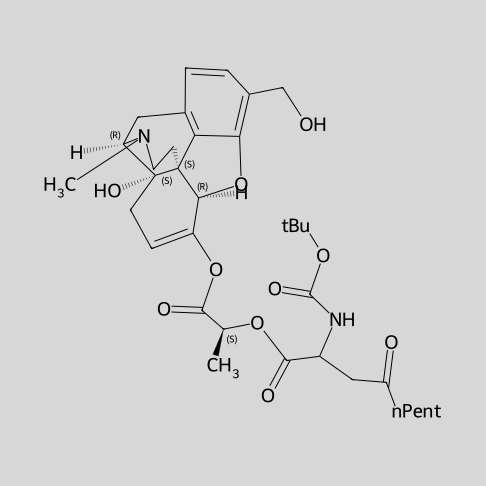 CCCCCC(=O)CC(NC(=O)OC(C)(C)C)C(=O)O[C@@H](C)C(=O)OC1=CC[C@@]2(O)[C@H]3Cc4ccc(CO)c5c4[C@@]2(CCN3C)[C@H]1O5